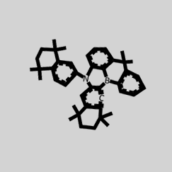 CC1(C)CCC(C)(C)c2cc(N3c4cc5c(cc4B4c6ccccc6C(C)(C)c6cccc3c64)C(C)(C)CCC5(C)C)ccc21